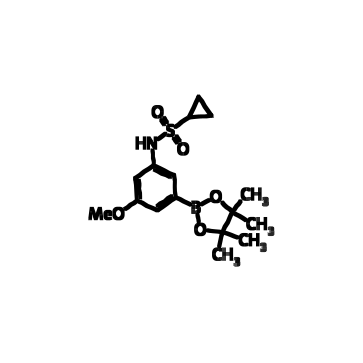 COc1cc(NS(=O)(=O)C2CC2)cc(B2OC(C)(C)C(C)(C)O2)c1